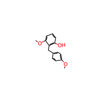 COc1ccc(Cc2c(O)cccc2OC)cc1